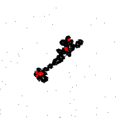 c1ccc(C2(c3ccccc3)c3ccccc3-c3ccc(N(c4ccc(-c5ccc(-c6ccc7ccc(-c8cccc9c8oc8c(-c%10ccccc%10N(c%10ccc(-c%11ccc%12ccccc%12c%11)cc%10)c%10ccc%11c(c%10)C(c%10ccccc%10)(c%10ccccc%10)c%10ccccc%10-%11)cccc89)cc7c6)cc5)cc4)c4ccccc4-c4cccc5c4oc4ccccc45)cc32)cc1